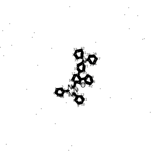 c1ccc(-c2nc(-c3ccccc3)nc(-c3ccc(-c4ccc(N(c5ccccc5)c5ccccc5)cc4)c4c3oc3ccccc34)n2)cc1